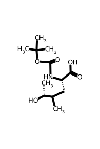 CC(C[C@H](NC(=O)OC(C)(C)C)C(=O)O)[C@@H](C)O